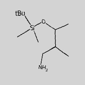 CC(CN)C(C)O[Si](C)(C)C(C)(C)C